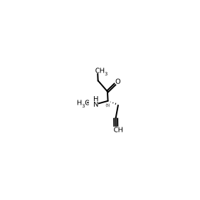 C#CC[C@H](NC)C(=O)CC